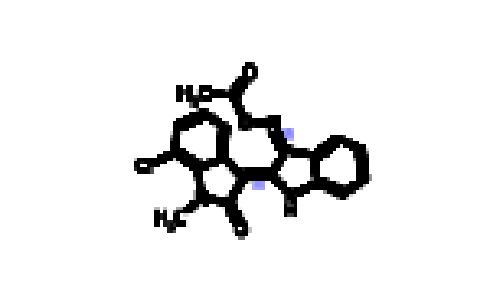 CC(=O)O/N=C1\C(=C2\C(=O)N(C)c3c(Cl)cccc32)Nc2ccccc21